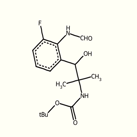 CC(C)(C)OC(=O)NC(C)(C)C(O)c1cccc(F)c1NC=O